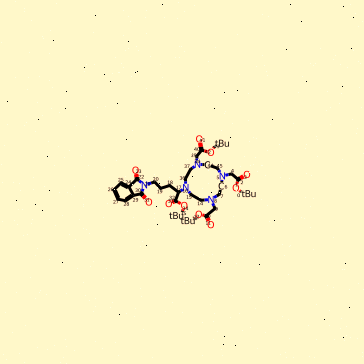 CC(C)(C)OC(=O)CN1CCN(CC(=O)OC(C)(C)C)CCN(C(CCCN2C(=O)c3ccccc3C2=O)C(=O)OC(C)(C)C)CCN(CC(=O)OC(C)(C)C)CC1